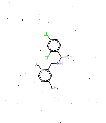 Cc1ccc(C)c(CNC(C)c2ccc(Cl)cc2Cl)c1